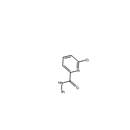 CC(C)NC(=O)c1cccc(Cl)n1